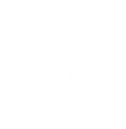 CCOC(Cc1ccc(OCCN(CC(F)(F)C(F)(F)C(F)(F)C(F)(F)C(F)(F)C(F)(F)F)C(=O)Nc2ccc(C(C)C)cc2)cc1)C(=O)O